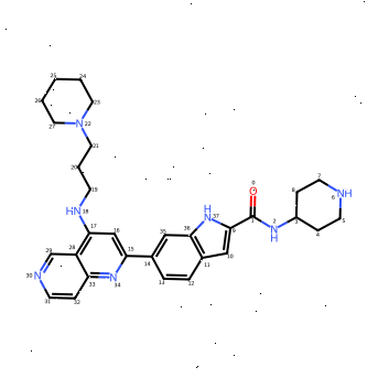 O=C(NC1CCNCC1)c1cc2ccc(-c3cc(NCCCN4CCCCC4)c4cnccc4n3)cc2[nH]1